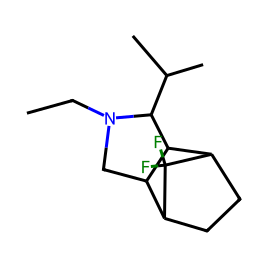 CCN1CC2C(C1C(C)C)C1CCC2C1(F)F